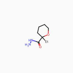 CCC1(C(=O)NN)CCCCO1